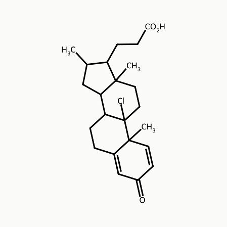 CC1CC2C3CCC4=CC(=O)C=CC4(C)C3(Cl)CCC2(C)C1CCC(=O)O